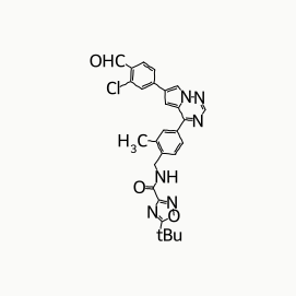 Cc1cc(-c2ncnn3cc(-c4ccc(C=O)c(Cl)c4)cc23)ccc1CNC(=O)c1noc(C(C)(C)C)n1